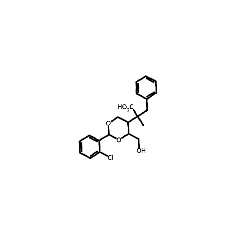 CC(Cc1ccccc1)(C(=O)O)C1COC(c2ccccc2Cl)OC1CO